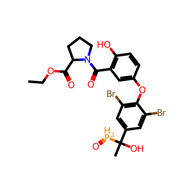 CCOC(=O)C1CCCN1C(=O)c1cc(Oc2c(Br)cc(C(C)(O)[PH2]=O)cc2Br)ccc1O